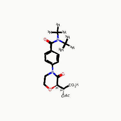 [2H]C([2H])([2H])N(C(=O)c1ccc(N2CCO[C@H]([C@@H](OC(C)=O)C(=O)O)C2=O)cc1)C([2H])([2H])[2H]